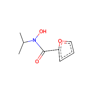 CC(C)N(O)C(=O)c1ccco1